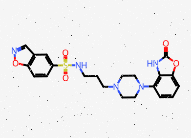 O=c1[nH]c2c(N3CCN(CCCNS(=O)(=O)c4ccc5oncc5c4)CC3)cccc2o1